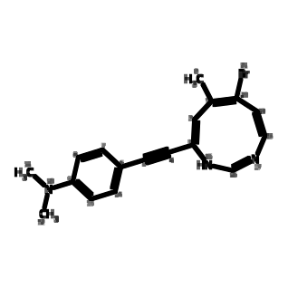 Cc1cc(C#Cc2ccc(N(C)C)cc2)[nH]cnccc1Br